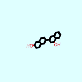 OC1C=c2ccc(C3=Cc4ccccc4C(O)C3)cc2=CC1